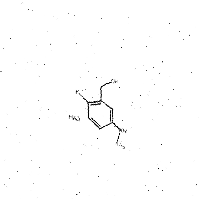 Cl.NNc1ccc(F)c(CO)c1